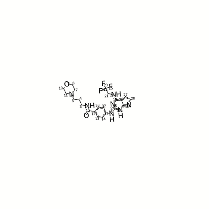 O=C(NCCCN1CCOCC1)c1ccc(Nc2nc(NCC(F)(F)F)c3ccnc-3[nH]2)cc1